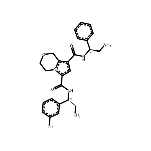 CC[C@@H](NC(=O)c1cc(C(=O)N[C@H](CC)c2cccc(O)c2)n2c1COCC2)c1ccccc1